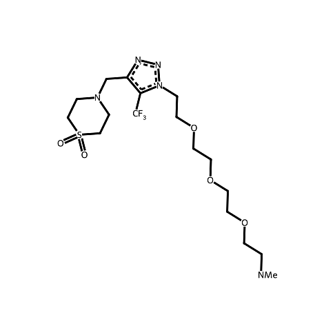 CNCCOCCOCCOCCn1nnc(CN2CCS(=O)(=O)CC2)c1C(F)(F)F